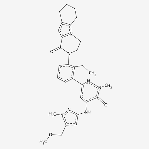 CCc1c(-c2cc(Nc3cc(COC)n(C)n3)c(=O)n(C)n2)cccc1N1CCn2c(cc3c2CCCC3)C1=O